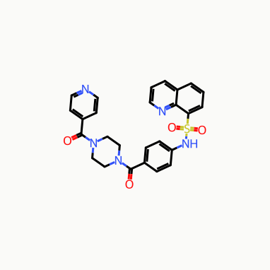 O=C(c1ccncc1)N1CCN(C(=O)c2ccc(NS(=O)(=O)c3cccc4cccnc34)cc2)CC1